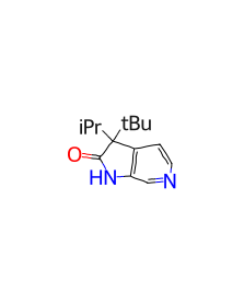 CC(C)C1(C(C)(C)C)C(=O)Nc2cnccc21